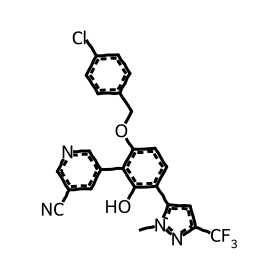 Cn1nc(C(F)(F)F)cc1-c1ccc(OCc2ccc(Cl)cc2)c(-c2cncc(C#N)c2)c1O